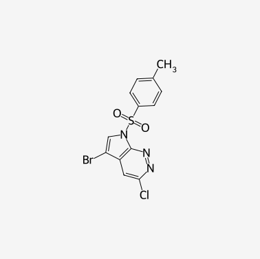 Cc1ccc(S(=O)(=O)n2cc(Br)c3cc(Cl)nnc32)cc1